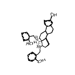 C[C@]12C(CC[C@H]1NCc1ccccc1O)C1CCc3cc(O)ccc3C1C[C@H]2NCc1ccccc1O